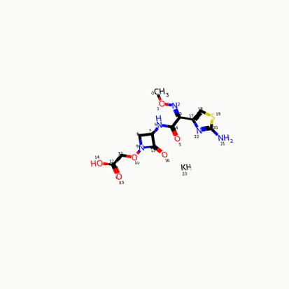 CO/N=C(\C(=O)NC1CN(OCC(=O)O)C1=O)c1csc(N)n1.[KH]